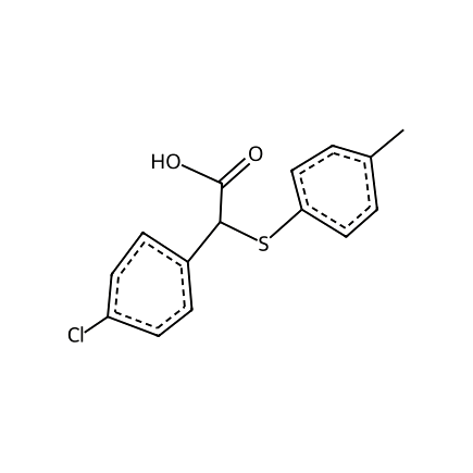 Cc1ccc(SC(C(=O)O)c2ccc(Cl)cc2)cc1